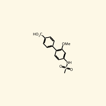 COc1cc(NS(C)(=O)=O)ccc1-c1ccc(C(=O)O)cc1